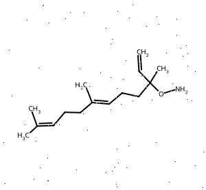 C=CC(C)(CC/C=C(\C)CCC=C(C)C)ON